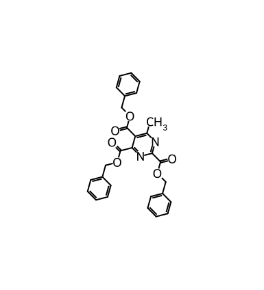 Cc1nc(C(=O)OCc2ccccc2)nc(C(=O)OCc2ccccc2)c1C(=O)OCc1ccccc1